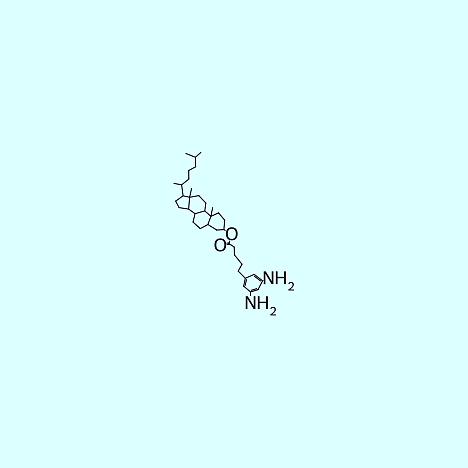 CC(C)CCCC(C)C1CCC2C3CCC4CC(OC(=O)CCCCc5cc(N)cc(N)c5)CCC4(C)C3CCC12C